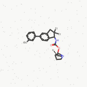 CCC1(CC)Cc2cc(-c3cccc(C(C)(C)C)c3)ccc2C1NC(=O)O[C@@H]1CN2CCC1CC2